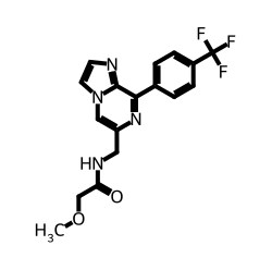 COCC(=O)NCc1cn2ccnc2c(-c2ccc(C(F)(F)F)cc2)n1